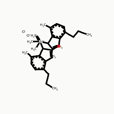 CCCc1ccc(C)c2c1C=C(C)[CH]2[Zr+2]([CH3])([CH3])(=[SiH2])[CH]1C(C)=Cc2c(CCC)ccc(C)c21.[Cl-].[Cl-]